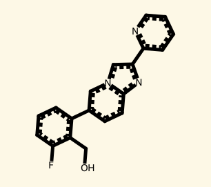 OCc1c(F)cccc1-c1ccc2nc(-c3ccccn3)cn2c1